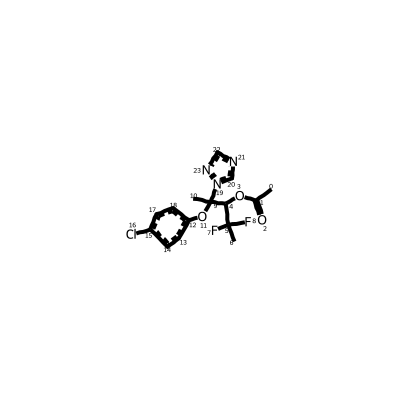 CC(=O)OC(C(C)(F)F)C(C)(Oc1ccc(Cl)cc1)n1cncn1